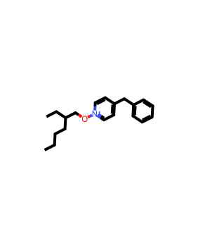 CCCCC(CC)CO[n+]1ccc(Cc2ccccc2)cc1